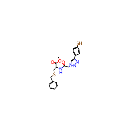 COC(=O)[C@H](CSCc1ccccc1)NC(=O)Cn1cc(-c2ccc(S)cc2)nn1